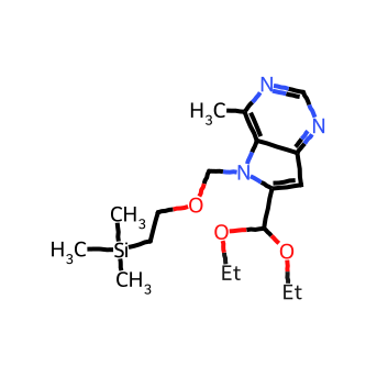 CCOC(OCC)c1cc2ncnc(C)c2n1COCC[Si](C)(C)C